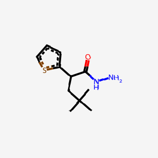 CC(C)(C)CC(C(=O)NN)c1cccs1